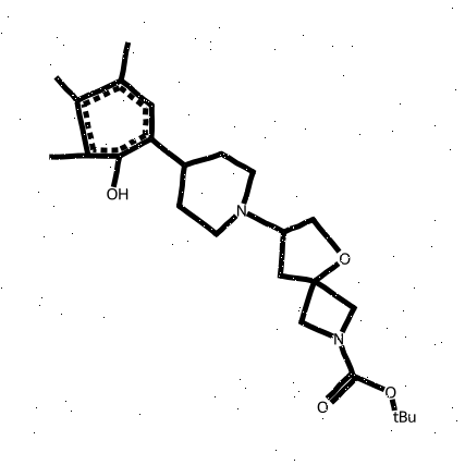 Cc1cc(C2CCN(C3COC4(C3)CN(C(=O)OC(C)(C)C)C4)CC2)c(O)c(C)c1C